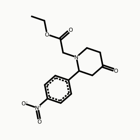 CCOC(=O)CN1CCC(=O)CC1c1ccc([N+](=O)[O-])cc1